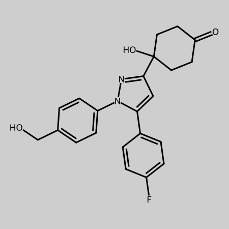 O=C1CCC(O)(c2cc(-c3ccc(F)cc3)n(-c3ccc(CO)cc3)n2)CC1